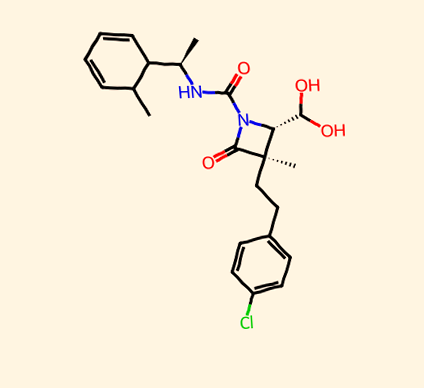 CC1C=CC=CC1[C@@H](C)NC(=O)N1C(=O)[C@](C)(CCc2ccc(Cl)cc2)[C@H]1C(O)O